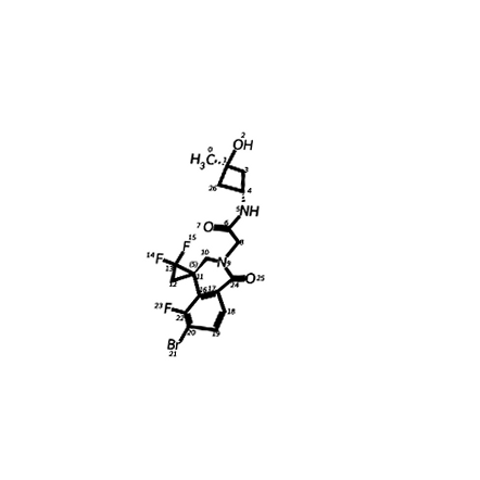 C[C@]1(O)C[C@H](NC(=O)CN2C[C@]3(CC3(F)F)c3c(ccc(Br)c3F)C2=O)C1